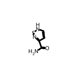 NC(=O)C1=NSNC=C1